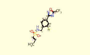 C/C=C/S(=O)(=O)NCc1ccc(-c2noc(C(F)(F)F)n2)cc1F